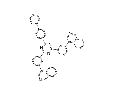 c1ccc(-c2ccc(-c3nc(-c4cccc(-c5cncc6ccccc56)c4)nc(-c4cccc(-c5cncc6ccccc56)c4)n3)cc2)cc1